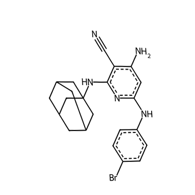 N#Cc1c(N)cc(Nc2ccc(Br)cc2)nc1NC12CC3CC(CC(C3)C1)C2